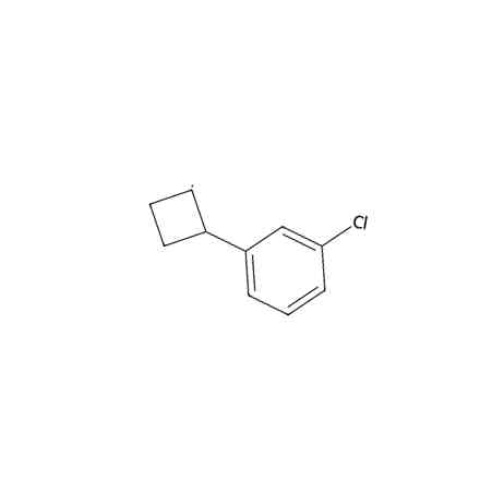 Clc1cccc(C2[CH]CC2)c1